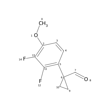 COc1ccc(C2(C=O)CC2)c(F)c1F